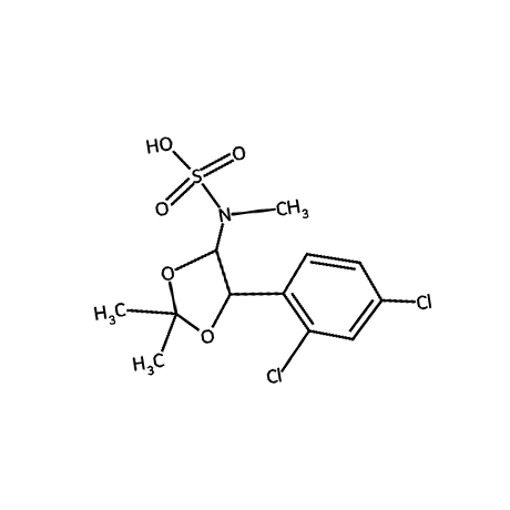 CN(C1OC(C)(C)OC1c1ccc(Cl)cc1Cl)S(=O)(=O)O